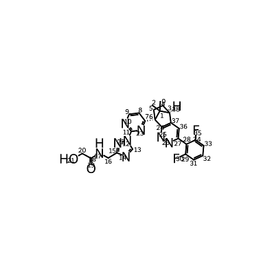 CC1(C)[C@H]2CC[C@]1(c1ccnc(-n3cnc(CNC(=O)CO)n3)n1)c1nnc(-c3c(F)cccc3F)cc12